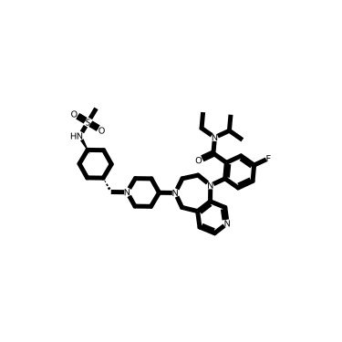 CCN(C(=O)c1cc(F)ccc1N1CCN(C2CCN(C[C@H]3CC[C@H](NS(C)(=O)=O)CC3)CC2)Cc2ccncc21)C(C)C